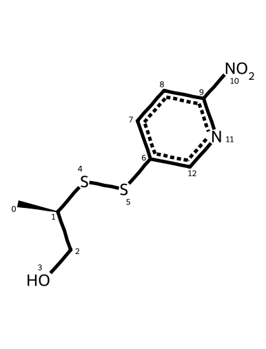 C[C@H](CO)SSc1ccc([N+](=O)[O-])nc1